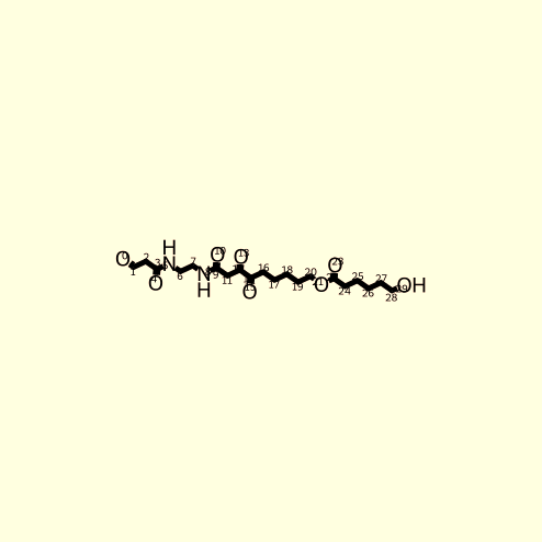 O=CCC(=O)NCCNC(=O)CC(=O)C(=O)CCCCCOC(=O)CCCCCO